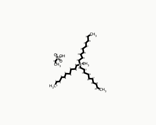 CCCCCCCCCC[N+](C)(CCCCCCCCCC)CCCCCCCCCC.CCS(=O)(=O)O